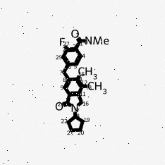 CNC(=O)c1ccc(Cc2cc3c(c(C)c2C)CN(C2CCCC2)C3=O)cc1F